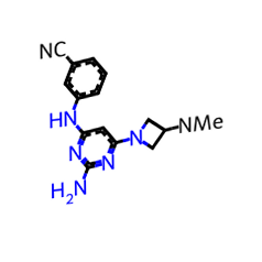 CNC1CN(c2cc(Nc3cccc(C#N)c3)nc(N)n2)C1